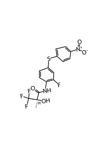 C[C@@](O)(C(=O)Nc1ccc(Sc2ccc([N+](=O)[O-])cc2)cc1F)C(F)(F)F